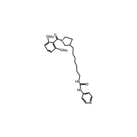 COc1cccc(OC)c1C(=O)N1CCC(CCCCCCCNC(=O)Nc2ccncc2)C1